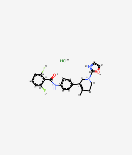 CC1=C(c2ccc(NC(=O)c3c(F)cccc3F)cc2)CN(c2ncco2)CC1.Cl